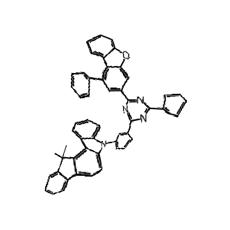 CC1(C)c2ccccc2-c2ccc3c(c21)c1ccccc1n3-c1cccc(-c2nc(-c3ccccc3)nc(-c3cc(-c4ccccc4)c4c(c3)oc3ccccc34)n2)c1